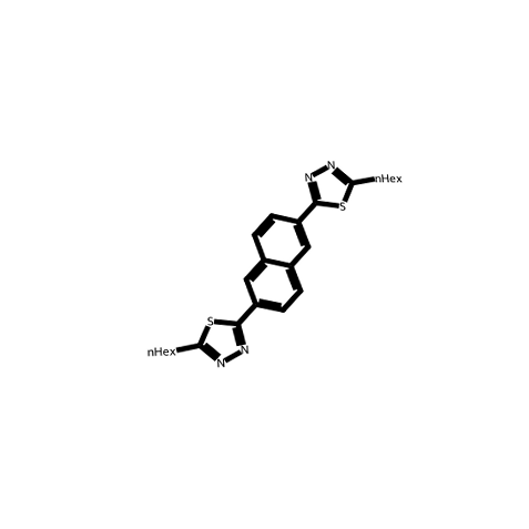 CCCCCCc1nnc(-c2ccc3cc(-c4nnc(CCCCCC)s4)ccc3c2)s1